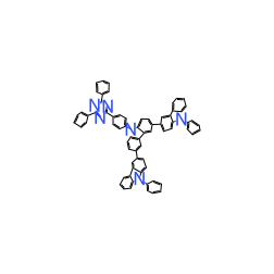 c1ccc(-c2nc(-c3ccccc3)nc(-c3ccc(-n4c5ccc(-c6ccc7c(c6)c6ccccc6n7-c6ccccc6)cc5c5cc(-c6ccc7c(c6)c6ccccc6n7-c6ccccc6)ccc54)cc3)n2)cc1